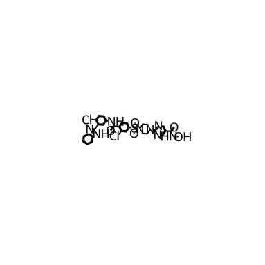 O=C(NO)c1cnc(N2CCN(S(=O)(=O)c3ccc(C(=O)Nc4ccc(Cl)c(-c5nc6ccccc6[nH]5)c4)c(Cl)c3)CC2)nc1